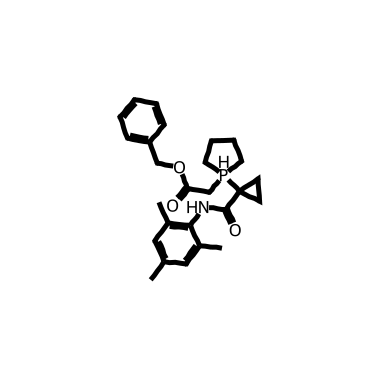 Cc1cc(C)c(NC(=O)C2([PH]3(CC(=O)OCc4ccccc4)CCCC3)CC2)c(C)c1